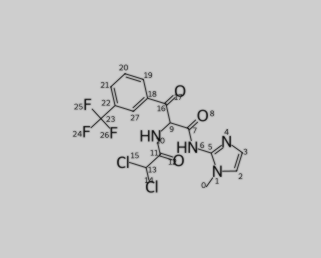 Cn1ccnc1NC(=O)C(NC(=O)C(Cl)Cl)C(=O)c1cccc(C(F)(F)F)c1